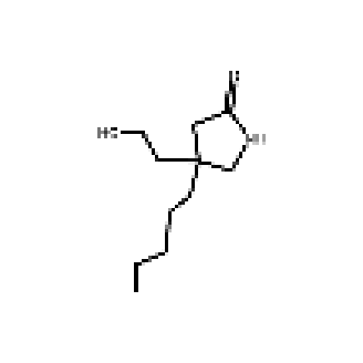 CCCCCC1(CCO)CNC(=O)C1